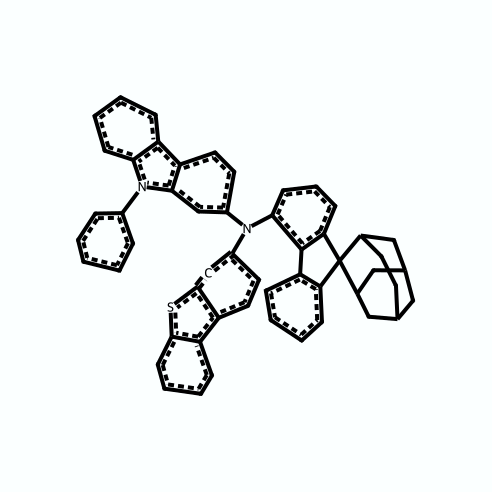 c1ccc(-n2c3ccccc3c3ccc(N(c4ccc5c(c4)sc4ccccc45)c4cccc5c4-c4ccccc4C54C5CCC6CC(C5)CC4C6)cc32)cc1